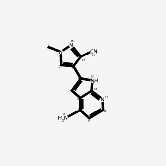 Cn1cc(-c2cc3c(N)ccnc3[nH]2)c(C#N)n1